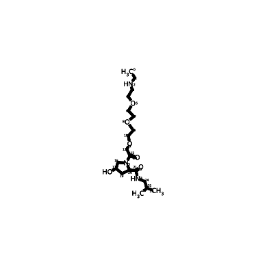 CCNCCOCCOCCOCC(=O)N1CC(O)CC1C(=O)NCC(C)C